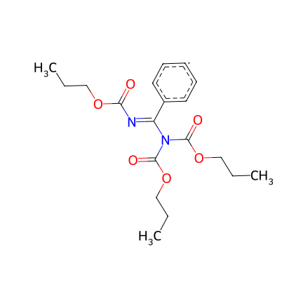 CCCOC(=O)N=C(c1cc[c]cc1)N(C(=O)OCCC)C(=O)OCCC